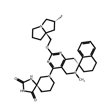 CN1Cc2c(nc(OC[C@@]34CCCN3C[C@H](F)C4)nc2N2CCC[C@]3(C2)NC(=O)NC3=O)C[C@]12CCCc1ccccc12